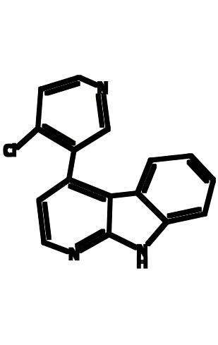 Clc1ccncc1-c1ccnc2[nH]c3ccccc3c12